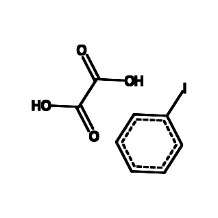 Ic1ccccc1.O=C(O)C(=O)O